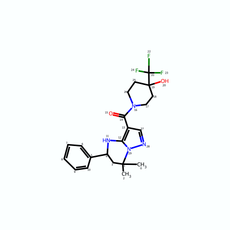 CC1(C)CC(c2ccccc2)Nc2c(C(=O)N3CCC(O)(C(F)(F)F)CC3)cnn21